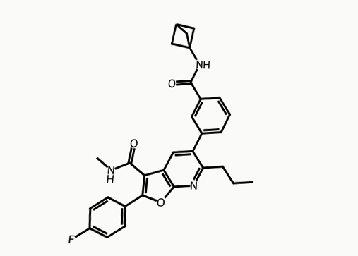 CCCc1nc2oc(-c3ccc(F)cc3)c(C(=O)NC)c2cc1-c1cccc(C(=O)NC23CC(C2)C3)c1